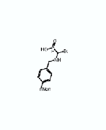 CCCCCCCCCc1ccc(CNC(CC)[PH](=O)O)cc1